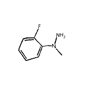 CN(N)c1ccccc1F